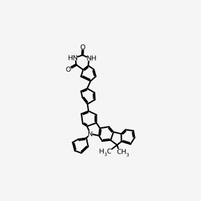 CC1(C)c2ccccc2-c2cc3c4cc(-c5ccc(-c6ccc7[nH]c(=O)[nH]c(=O)c7c6)cc5)ccc4n(-c4ccccc4)c3cc21